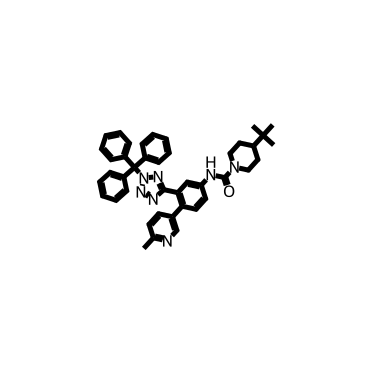 Cc1ccc(-c2ccc(NC(=O)N3CCC(C(C)(C)C)CC3)cc2-c2nnn(C(c3ccccc3)(c3ccccc3)c3ccccc3)n2)cn1